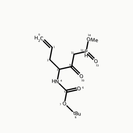 C=CCC(NC(=O)OC(C)(C)C)C(=O)C[PH](=O)OC